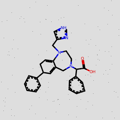 O=C(O)C(c1ccccc1)N1CCN(Cc2c[nH]cn2)C2=CCC(c3ccccc3)C=C2C1